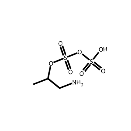 CC(CN)OS(=O)(=O)OS(=O)(=O)O